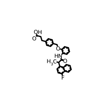 CC(C(=O)Nc1ccccc1OCc1ccc(CCC(=O)O)cc1)c1ccc(F)c2ccccc12